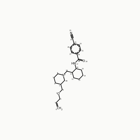 C=CCOCC1CCCN(CC2CCCCC2NC(=O)c2ccc(C#N)cc2)C1